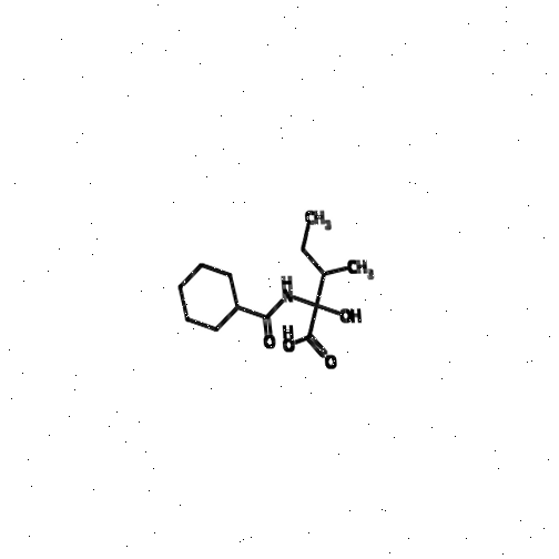 CCC(C)C(O)(NC(=O)C1CCCCC1)C(=O)O